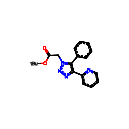 CC(C)(C)OC(=O)Cn1nnc(-c2ccccn2)c1-c1ccccc1